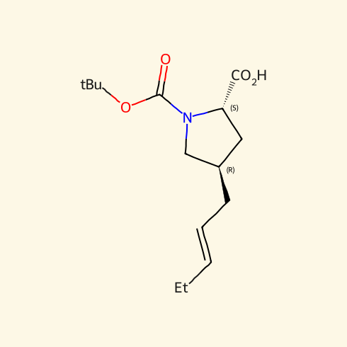 CCC=CC[C@@H]1C[C@@H](C(=O)O)N(C(=O)OC(C)(C)C)C1